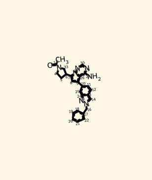 CC(=O)N1CCC(c2cc(-c3ccc4cn(Cc5ccccc5)nc4c3)c3c(N)ncnn23)C1